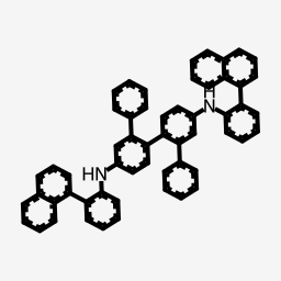 c1ccc(-c2cc(Nc3ccccc3-c3cccc4ccccc34)ccc2-c2ccc(Nc3ccccc3-c3cccc4ccccc34)cc2-c2ccccc2)cc1